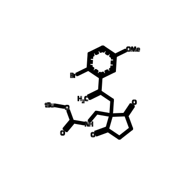 C=C(CC1(CNC(=O)OC(C)(C)C)C(=O)CCC1=O)c1cc(OC)ccc1Br